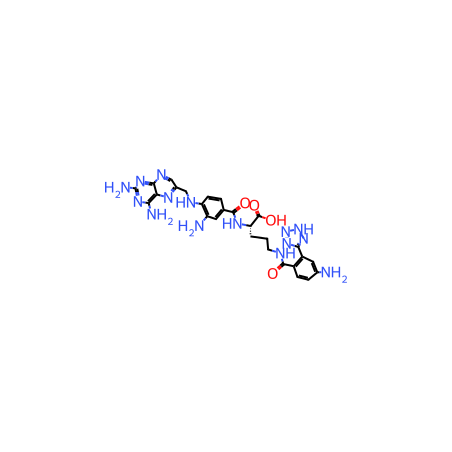 Nc1ccc(C(=O)NCCC[C@H](NC(=O)c2ccc(NCc3cnc4nc(N)nc(N)c4n3)c(N)c2)C(=O)O)c(-c2nn[nH]n2)c1